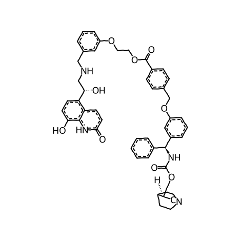 O=C(N[C@@H](c1ccccc1)c1cccc(OCc2ccc(C(=O)OCCOc3cccc(CNC[C@H](O)c4ccc(O)c5[nH]c(=O)ccc45)c3)cc2)c1)O[C@H]1CN2CCC1CC2